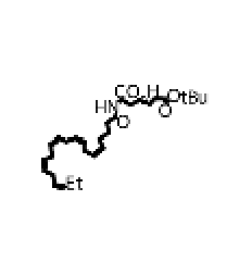 CC/C=C\C/C=C\C/C=C\C/C=C\C/C=C\CCCC(=O)NC(CCCCC(=O)OC(C)(C)C)C(=O)O